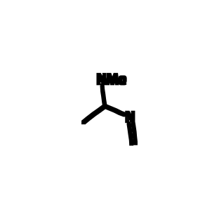 C=NC(C)NC